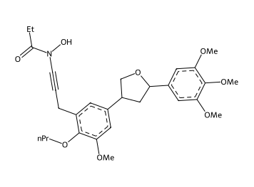 CCCOc1c(CC#CN(O)C(=O)CC)cc(C2COC(c3cc(OC)c(OC)c(OC)c3)C2)cc1OC